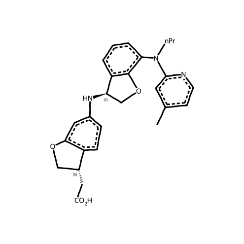 CCCN(c1cc(C)ccn1)c1cccc2c1OC[C@H]2Nc1ccc2c(c1)OC[C@H]2CC(=O)O